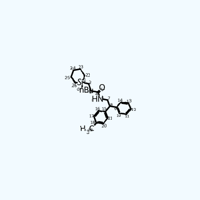 CCCC[Si]1(CCC(=O)NCC(c2ccccc2)c2ccc(C)cc2)CCCCC1